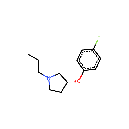 CCCN1CC[C@@H](Oc2ccc(F)cc2)C1